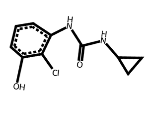 O=C(Nc1cccc(O)c1Cl)NC1CC1